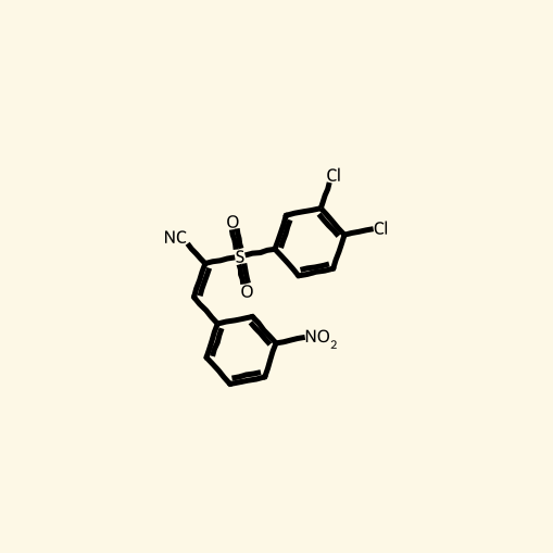 N#CC(=Cc1cccc([N+](=O)[O-])c1)S(=O)(=O)c1ccc(Cl)c(Cl)c1